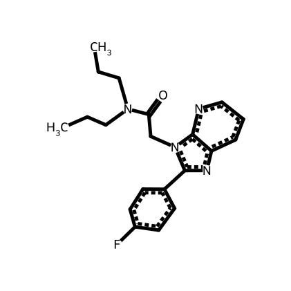 CCCN(CCC)C(=O)Cn1c(-c2ccc(F)cc2)nc2cccnc21